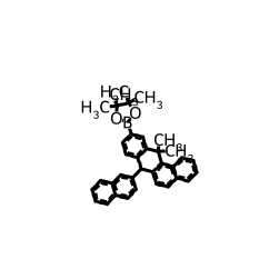 CC1(C)c2cc(B3OC(C)(C)C(C)(C)O3)ccc2C(c2ccc3ccccc3c2)c2ccc3ccccc3c21